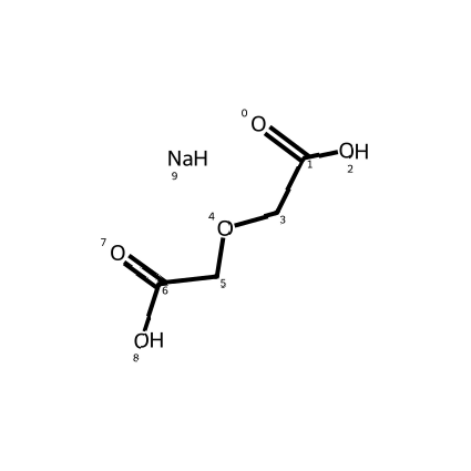 O=C(O)COCC(=O)O.[NaH]